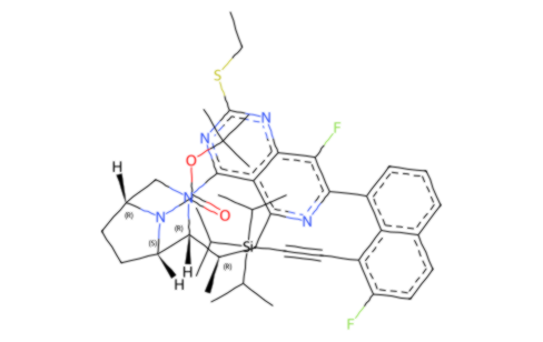 CCSc1nc2c3c(nc(-c4cccc5ccc(F)c(C#C[Si](C(C)C)(C(C)C)C(C)C)c45)c(F)c3n1)C[C@@H](C)[C@@H]1[C@@H]3CC[C@H](CN21)N3C(=O)OC(C)(C)C